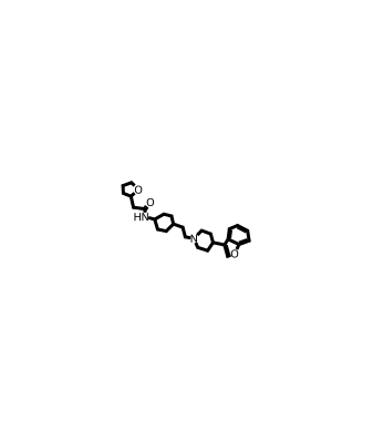 O=C(CC1CCCO1)NC1CCC(CCN2CCC(c3coc4ccccc34)CC2)CC1